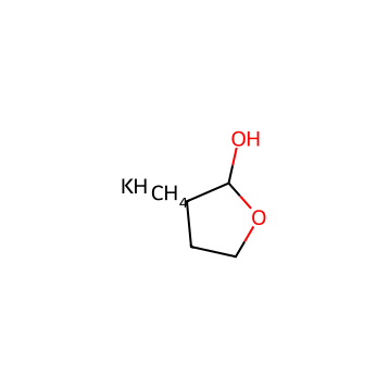 C.OC1CCCO1.[KH]